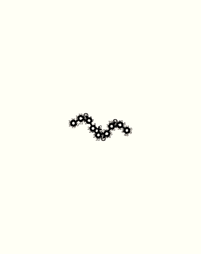 CC1(C)c2cc(-c3ccc4oc5ccc(-c6ccccc6)cc5c4c3)ccc2-c2ccc3oc4ccc(-c5ccc6oc7ccc(-c8ccccc8)cc7c6c5)cc4c3c21